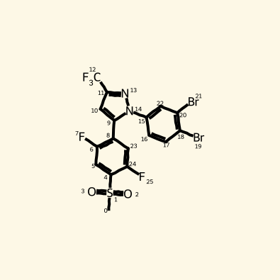 CS(=O)(=O)c1cc(F)c(-c2cc(C(F)(F)F)nn2-c2ccc(Br)c(Br)c2)cc1F